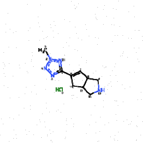 Cl.Cn1nnc(C2=CC3CNCC3C2)n1